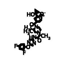 C[C@@H](C(=O)Nc1cnc(Oc2ccc(F)cc2F)cn1)N1CCN(C(=O)c2cc[n+]([O-])c(C3(O)CC3)c2)C(C)(C)C1